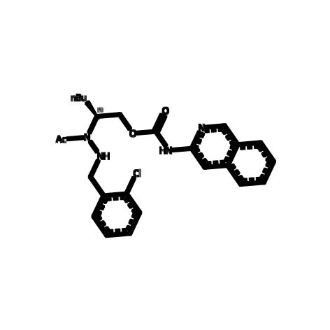 [CH2]CCC[C@@H](COC(=O)Nc1cc2ccccc2cn1)N(NCc1ccccc1Cl)C(C)=O